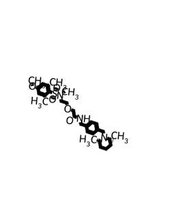 COc1cc(C)c(S(=O)(=O)N(C)CCOCC(=O)NCc2ccc(CN3[C@H](C)CCC[C@@H]3C)cc2)c(C)c1